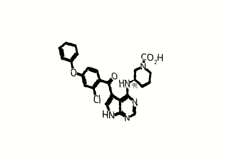 O=C(c1ccc(Oc2ccccc2)cc1Cl)c1c[nH]c2ncnc(N[C@@H]3CCCN(C(=O)O)C3)c12